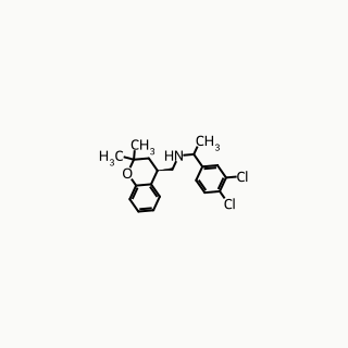 CC(NC[C@@H]1CC(C)(C)Oc2ccccc21)c1ccc(Cl)c(Cl)c1